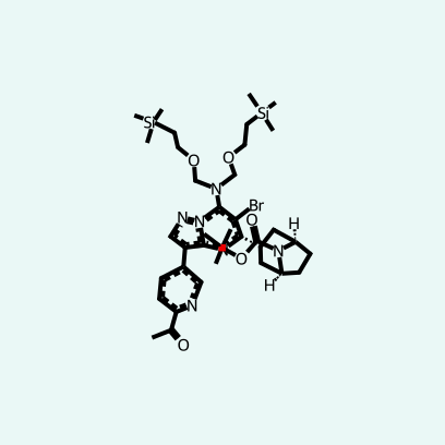 CC(=O)c1ccc(-c2cnn3c(N(COCC[Si](C)(C)C)COCC[Si](C)(C)C)c(Br)c([C@@H]4C[C@H]5CC[C@@H](C4)N5C(=O)OC(C)(C)C)nc23)cn1